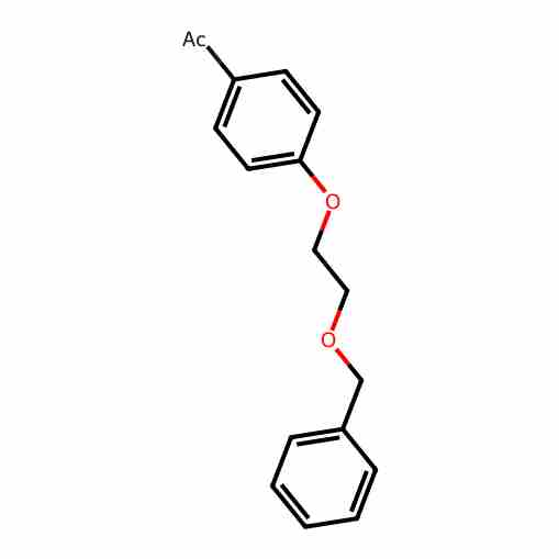 CC(=O)c1ccc(OCCOCc2ccccc2)cc1